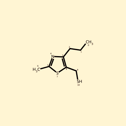 CCCc1nc(C)sc1CS